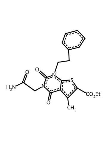 CCOC(=O)c1sc2c(c1C)c(=O)n(CC(N)=O)c(=O)n2CCc1ccccc1